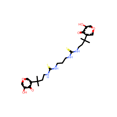 CC(C)(CCNC(=S)NCCCNC(=S)NCCC(C)(C)c1cocc(O)c1=O)c1cocc(O)c1=O